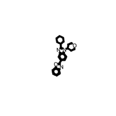 c1ccc2oc(-c3ccc4c(c3)nc(C3CCCCC3)n4C3CCOCC3)nc2c1